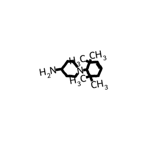 CC1(C)C=CCC(C)(C)C1N1CCC(N)CC1